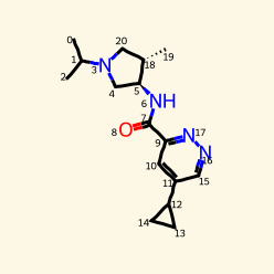 CC(C)N1C[C@H](NC(=O)c2cc(C3CC3)cnn2)[C@@H](C)C1